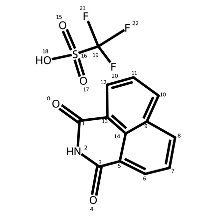 O=C1NC(=O)c2cccc3cccc1c23.O=S(=O)(O)C(F)(F)F